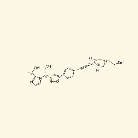 C[C@H](O)c1nccn1[C@H](CO)c1cc(-c2ccc(C#C[C@H]3[C@H]4CN(CCO)C[C@@H]34)cc2)on1